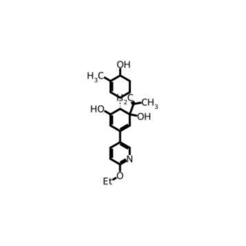 C=C(C)C1(O)C=C(c2ccc(OCC)nc2)C=C(O)[C@@H]1C1C=C(C)C(O)CC1